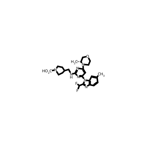 Cc1ccc2nc(C(F)F)n(-c3cc(N4CCOC[C@H]4C)nc(NCC4CCN(C(=O)O)CC4)n3)c2c1